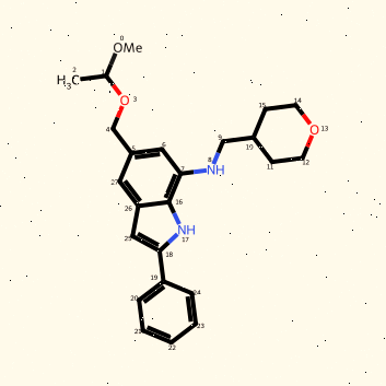 COC(C)OCc1cc(NCC2CCOCC2)c2[nH]c(-c3ccccc3)cc2c1